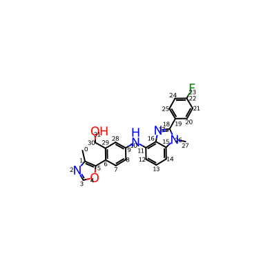 Cc1ncoc1-c1ccc(Nc2cccc3c2nc(-c2ccc(F)cc2)n3C)cc1CO